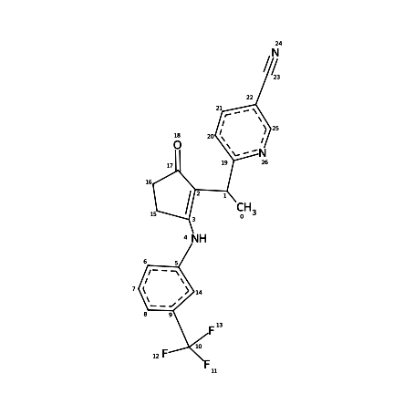 CC(C1=C(Nc2cccc(C(F)(F)F)c2)CCC1=O)c1ccc(C#N)cn1